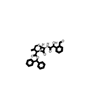 C=C1CS[C@H]2[C@H](NC(=O)C(O)c3ccccc3C=O)C(=O)N2C1C(=O)OC(c1ccccc1)c1ccccc1